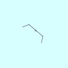 CCCCCCCC/C=C\CCCCCCCCCCOCCCCCCCCCC/C=C\CCCCCCCC